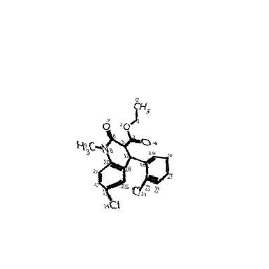 CCOC(=O)C1C(=O)N(C)c2ccc(Cl)cc2C1c1ccccc1Cl